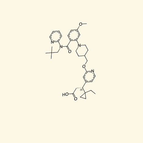 CCC1([C@H](CC(=O)O)c2ccnc(OCC3CCN(c4cc(OC)ccc4C(=O)N(CC(C)(C)C)c4ccccn4)CC3)c2)CC1